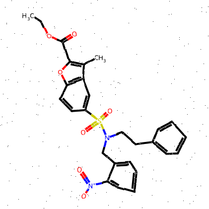 CCOC(=O)c1oc2ccc(S(=O)(=O)N(CCc3ccccc3)Cc3ccccc3[N+](=O)[O-])cc2c1C